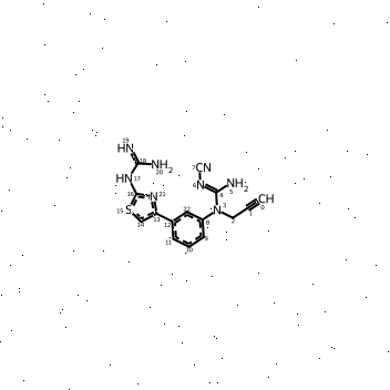 C#CCN(C(N)=NC#N)c1cccc(-c2csc(NC(=N)N)n2)c1